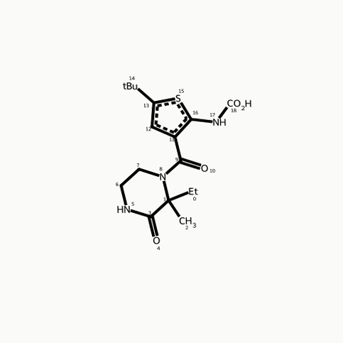 CCC1(C)C(=O)NCCN1C(=O)c1cc(C(C)(C)C)sc1NC(=O)O